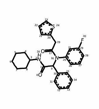 O=C(NC1CCCCC1)C(c1ccccc1)N(C(=O)Cc1cccs1)c1cccc(F)c1